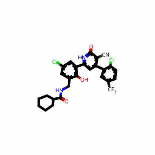 N#Cc1c(-c2cc(C(F)(F)F)ccc2Cl)cc(-c2cc(Cl)cc(CNC(=O)C3CCCCC3)c2O)[nH]c1=O